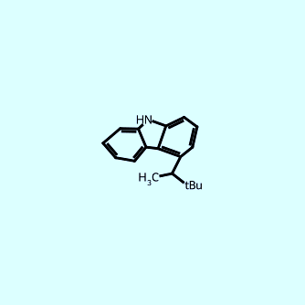 CC(c1cccc2[nH]c3ccccc3c12)C(C)(C)C